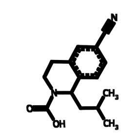 CC(C)CC1c2ccc(C#N)cc2CCN1C(=O)O